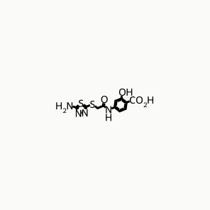 Nc1nnc(SCC(=O)Nc2ccc(C(=O)O)c(O)c2)s1